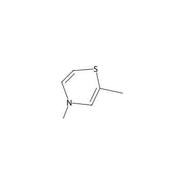 CC1=CN(C)C=CS1